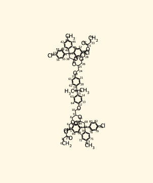 C=CC(=O)OCCOCC(COc1ccc(C(C)(C)c2ccc(OCC(COCCOC(=O)C=C)OC(=O)CC(c3ccc(C)cc3)(c3ccc(Cl)cc3)c3ccc(Cl)cc3)cc2)cc1)OC(=O)CC(c1ccc(C)cc1)(c1ccc(Cl)cc1)c1ccc(Cl)cc1